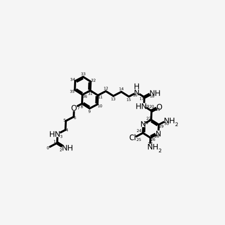 CC(=N)NCCCOc1ccc(CCCCNC(=N)NC(=O)c2nc(Cl)c(N)nc2N)c2ccccc12